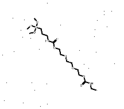 [CH2]CNC(=O)OCCOCCOCCOC(=O)NCCC[Si](O[CH2])(OC)OC